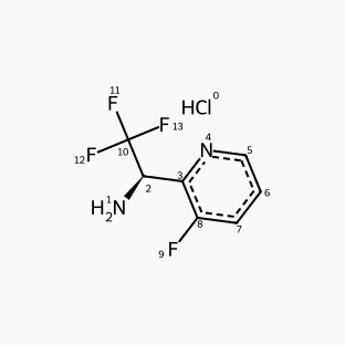 Cl.N[C@H](c1ncccc1F)C(F)(F)F